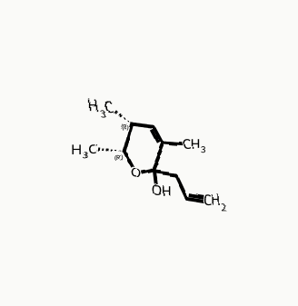 C=CCC1(O)O[C@H](C)[C@H](C)C=C1C